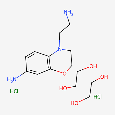 Cl.Cl.NCCN1CCOc2cc(N)ccc21.OCCO.OCCO